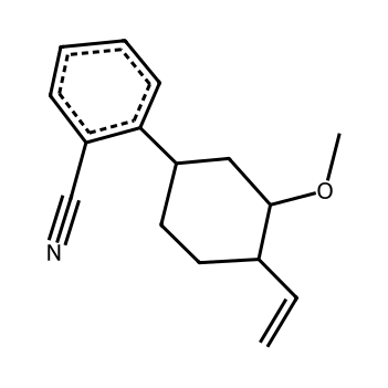 C=CC1CCC(c2ccccc2C#N)CC1OC